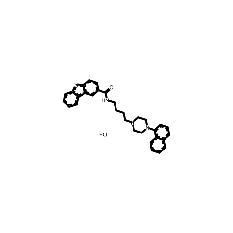 Cl.O=C(NCCCCN1CCN(c2cccc3ccccc23)CC1)c1ccc2sc3ccccc3c2c1